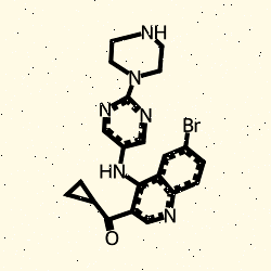 O=C(c1cnc2ccc(Br)cc2c1Nc1cnc(N2CCNCC2)nc1)C1CC1